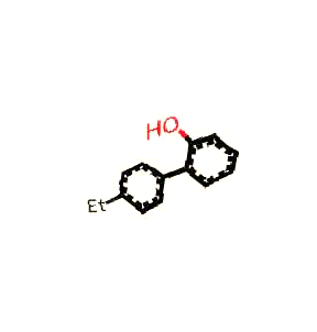 CCc1ccc(-c2ccccc2O)cc1